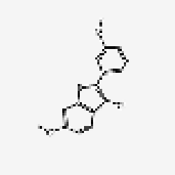 COc1cccc(-c2sc3cc(OC)ccc3c2Cl)c1